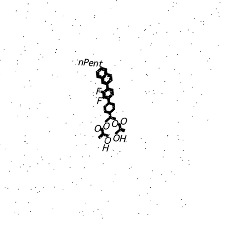 C=C(CO)C(=O)OCC(COC(=O)C(=C)CO)C1CCC(c2ccc(-c3ccc4cc(CCCCC)ccc4c3)c(F)c2F)CC1